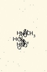 Cn1cccc1C(=O)Nc1ccc(O)c(-c2cc(C3CC3)n(C(=O)NCc3ccccc3)n2)c1